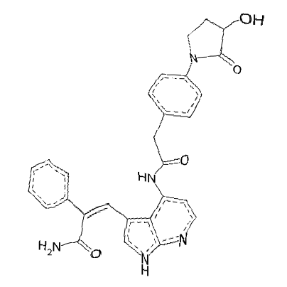 NC(=O)C(=Cc1c[nH]c2nccc(NC(=O)Cc3ccc(N4CCC(O)C4=O)cc3)c12)c1ccccc1